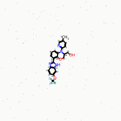 Cc1ccc(N2c3cccc(-c4nc5ccc(OC(F)(F)F)cc5[nH]4)c3OCC2CO)nc1